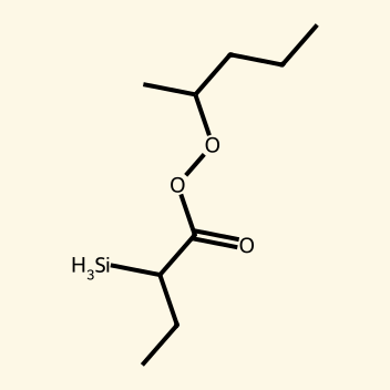 CCCC(C)OOC(=O)C([SiH3])CC